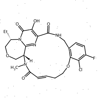 CC[C@H]1COC[C@@H]2c3nc(c(O)c(=O)n31)C(=O)NCc1ccc(F)c(Cl)c1OCC/C=C/C(=O)N2C